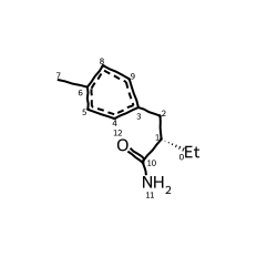 CC[C@@H](Cc1ccc(C)cc1)C(N)=O